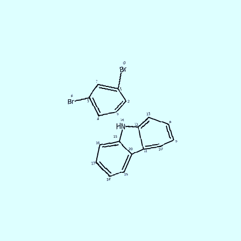 Brc1cccc(Br)c1.c1ccc2c(c1)[nH]c1ccccc12